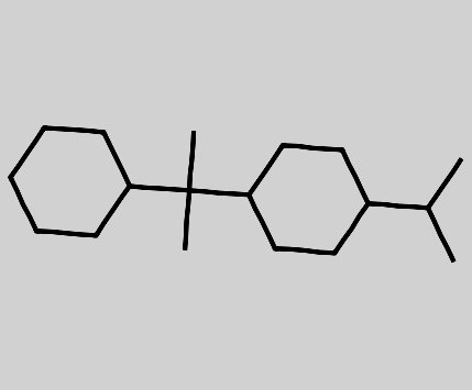 CC(C)C1CCC(C(C)(C)C2CCCCC2)CC1